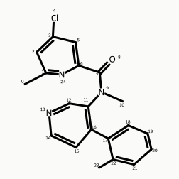 Cc1cc(Cl)cc(C(=O)N(C)c2cnccc2-c2ccccc2C)n1